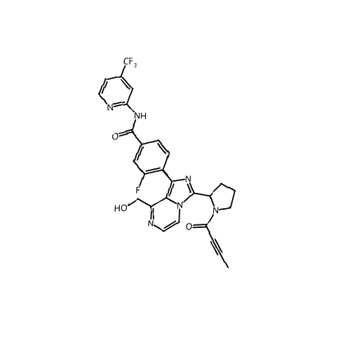 CC#CC(=O)N1CCCC1c1nc(-c2ccc(C(=O)Nc3cc(C(F)(F)F)ccn3)cc2F)c2c(CO)nccn12